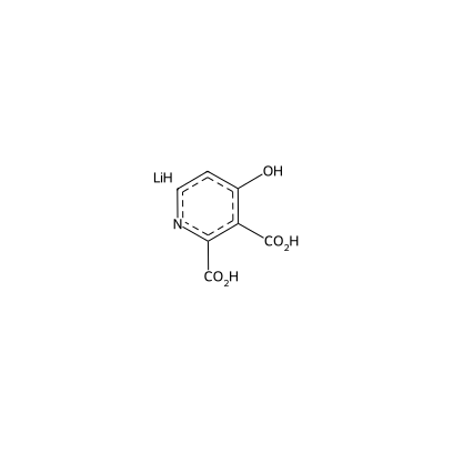 O=C(O)c1nccc(O)c1C(=O)O.[LiH]